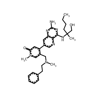 CCCCC(C)(CO)Nc1nc(N)nc2cc(-c3cc(=O)n(C)cc3CN(C)CCc3ccccc3)cnc12